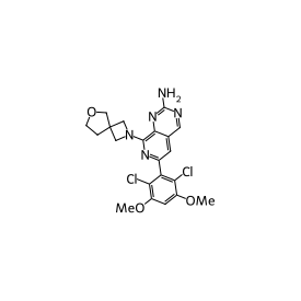 COc1cc(OC)c(Cl)c(-c2cc3cnc(N)nc3c(N3CC4(CCOC4)C3)n2)c1Cl